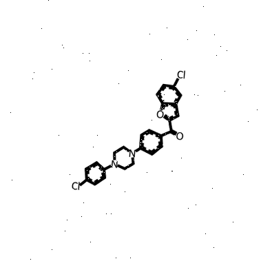 O=C(c1ccc(N2CCN(c3ccc(Cl)cc3)CC2)cc1)c1cc2cc(Cl)ccc2o1